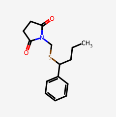 CCCC(SCN1C(=O)CCC1=O)c1ccccc1